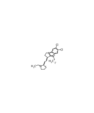 CCN1CCSC1=CC=C1CCn2c1[n+](CC)c1cc(Cl)c(Cl)cc12.[I-]